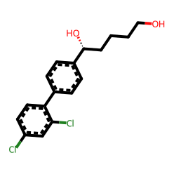 OCCCC[C@@H](O)c1ccc(-c2ccc(Cl)cc2Cl)cc1